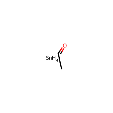 CC=O.[SnH4]